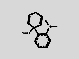 COC1(c2ccccc2N(C)C)C=C[CH]C=C1